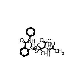 CC(=O)N[C@@H](C(=O)O)C(C)(C)S[Se]c1ccccc1C(=O)Nc1ccccc1